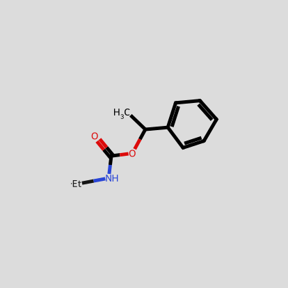 C[CH]NC(=O)OC(C)c1ccccc1